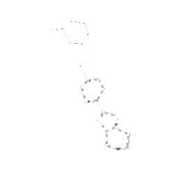 NC1CCCC(OCc2ccc(-c3nc4ccccc4o3)cc2)C1